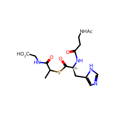 CC(=O)NCCC(=O)N[C@@H](Cc1cnc[nH]1)C(=O)SC(C)C(=O)NCC(=O)O